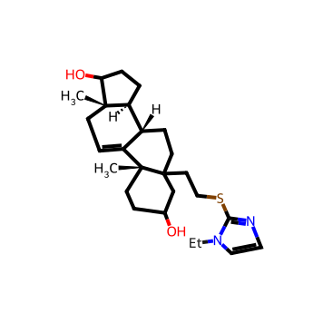 CCn1ccnc1SCCC12CC[C@@H]3C(=CC[C@]4(C)C(O)CC[C@@H]34)[C@@]1(C)CCC(O)C2